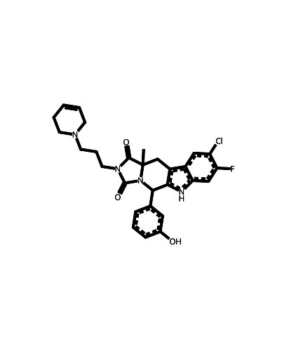 CC12Cc3c([nH]c4cc(F)c(Cl)cc34)C(c3cccc(O)c3)N1C(=O)N(CCCN1CC=CCC1)C2=O